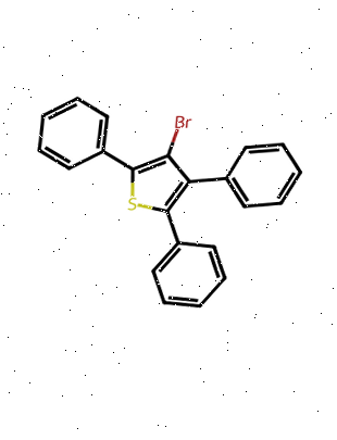 Brc1c(-c2ccccc2)sc(-c2ccccc2)c1-c1ccccc1